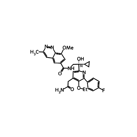 CCOc1c(CC(N)=O)cc([C@@](O)(CNC(=O)c2cc(OC)c3nnc(C)cc3c2)C2CC2)nc1-c1ccc(F)cc1